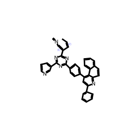 C=N/C=C(\C=C/C)c1nc(-c2ccc(-c3cc(-c4ccccc4)nc4ccc5ccccc5c34)cc2)nc(-c2cccnc2)n1